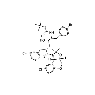 CC(C)(C)OC(=O)N[C@@H](Cc1ccc(Br)cc1)[C@@H](O)C[C@@H](Cc1cccc(Cl)c1)C(=O)N1[C@H]2c3cc(Cl)ccc3OC[C@H]2OC1(C)C